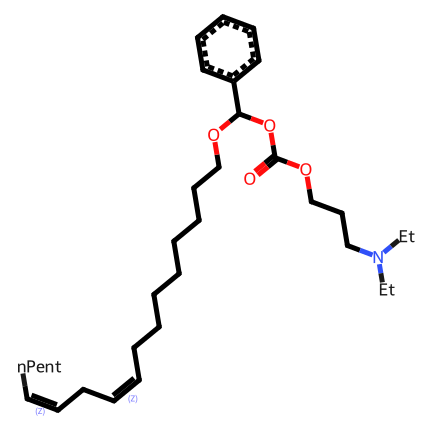 CCCCC/C=C\C/C=C\CCCCCCCCOC(OC(=O)OCCCN(CC)CC)c1ccccc1